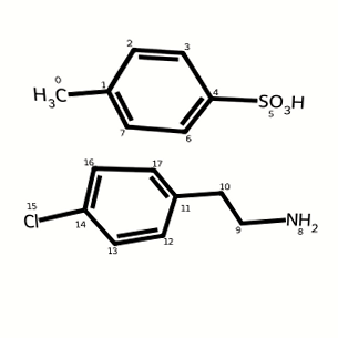 Cc1ccc(S(=O)(=O)O)cc1.NCCc1ccc(Cl)cc1